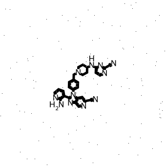 N#Cc1cc2c(cn1)nc(-c1cccnc1N)n2-c1ccc(CN2CCC(Nc3ccnc(C#N)n3)CC2)cc1